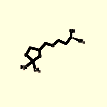 C[C@@H](O)CCOCC1COC(C)(C)O1